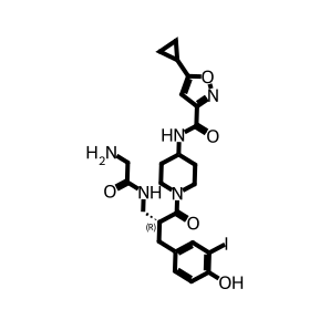 NCC(=O)NC[C@@H](Cc1ccc(O)c(I)c1)C(=O)N1CCC(NC(=O)c2cc(C3CC3)on2)CC1